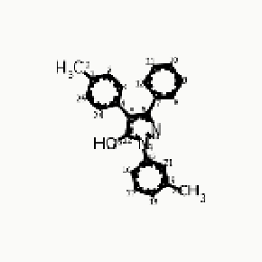 Cc1ccc(-c2c(-c3ccccc3)nn(-c3cccc(C)c3)c2O)cc1